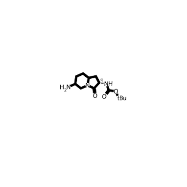 CC(C)(C)OC(=O)N[C@H]1CC2CCC(N)CN2C1=O